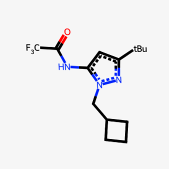 CC(C)(C)c1cc(NC(=O)C(F)(F)F)n(CC2CCC2)n1